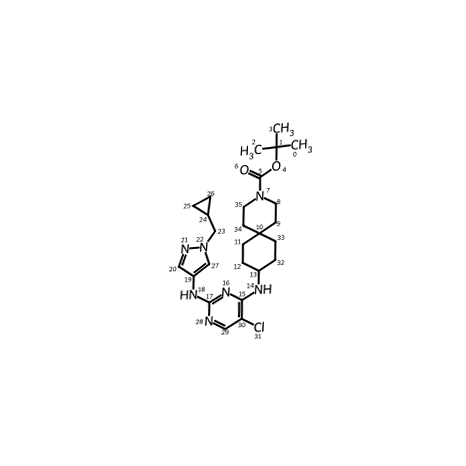 CC(C)(C)OC(=O)N1CCC2(CCC(Nc3nc(Nc4cnn(CC5CC5)c4)ncc3Cl)CC2)CC1